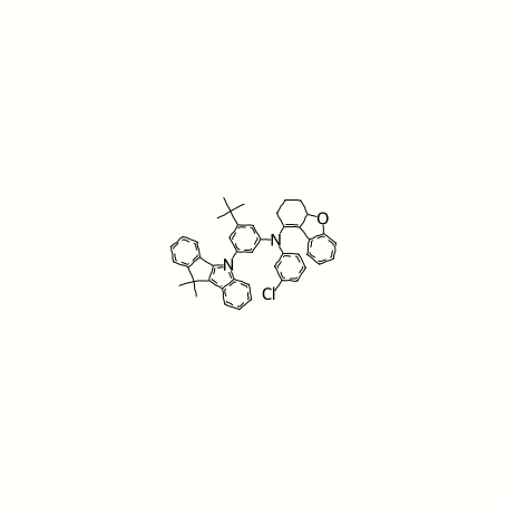 CC(C)(C)c1cc(N(C2=C3c4ccccc4OC3CCC2)c2cccc(Cl)c2)cc(-n2c3c(c4ccccc42)C(C)(C)c2ccccc2-3)c1